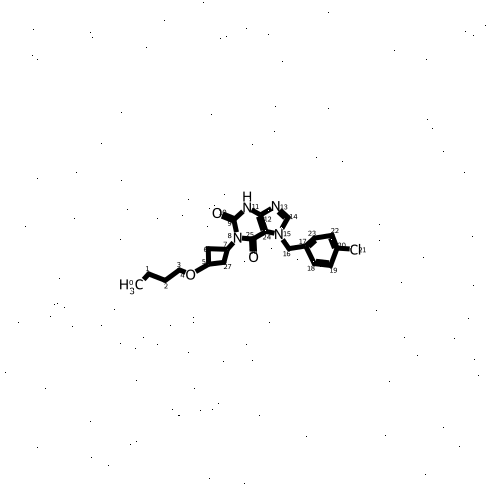 CCCCOC1CC(n2c(=O)[nH]c3ncn(Cc4ccc(Cl)cc4)c3c2=O)C1